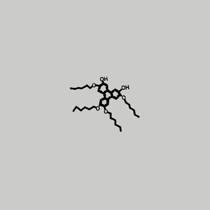 CCCCCCOc1cc2c(cc1O)c1cc(O)c(OCCCCCC)cc1c1cc(OCCCCCC)c(OCCCCCC)cc21